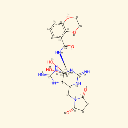 N=C1NC2C(CN3C(=O)CCC3=O)NC(=N)N3C[C@H](NC(=O)c4cccc5c4OCCO5)C(O)(O)C23N1